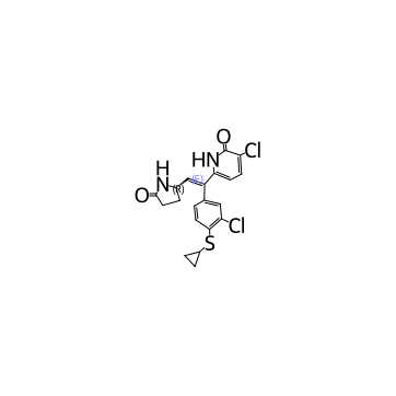 O=C1CC[C@H](/C=C(\c2ccc(SC3CC3)c(Cl)c2)c2ccc(Cl)c(=O)[nH]2)N1